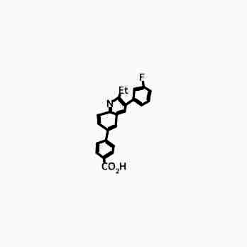 CCc1nc2ccc(-c3ccc(C(=O)O)cc3)cc2cc1-c1cccc(F)c1